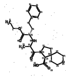 CCOC(=O)[C@H](CCc1ccccc1)NC(C)C(=O)N1CCC2(CCOCC2)[C@H]1C(=O)O